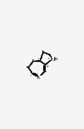 C1=NC=C2NCCC2CC1